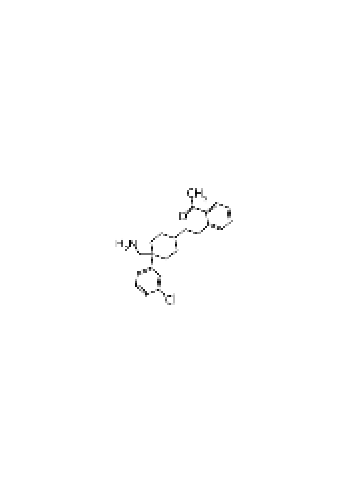 CC(=O)c1ccccc1CCC1CCC(CN)(c2cccc(Cl)c2)CC1